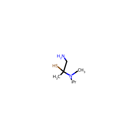 CC(C)N(C)C(C)(S)CN